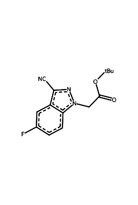 CC(C)(C)OC(=O)Cn1nc(C#N)c2cc(F)ccc21